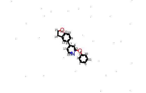 c1ccc(Oc2cc(-c3ccc4c(c3)CCO4)ccn2)cc1